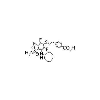 NS(=O)(=O)c1c(F)c(F)c(SCCc2ccc(C(=O)O)cc2)c(F)c1NC1CCCCCCC1